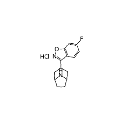 Cl.Fc1ccc2c(C3CC4CCC(C3)N4)noc2c1